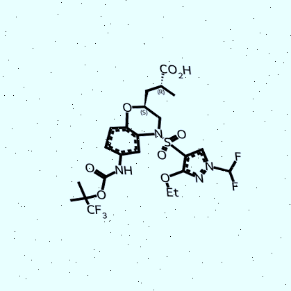 CCOc1nn(C(F)F)cc1S(=O)(=O)N1C[C@H](C[C@@H](C)C(=O)O)Oc2ccc(NC(=O)OC(C)(C)C(F)(F)F)cc21